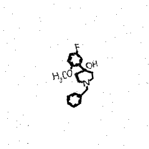 COc1ccc(F)cc1C1(O)CCN(Cc2ccccc2)CC1